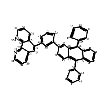 c1ccc(-c2c3ccccc3c(-c3ccccc3)c3cc(-c4cccc(-c5cc6cccnc6c6ncccc56)c4)ccc23)cc1